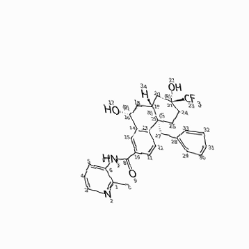 Cc1ncccc1NC(=O)c1ccc2c(c1)[C@H](O)C[C@@H]1C[C@@](O)(C(F)(F)F)CC[C@@]21Cc1ccccc1